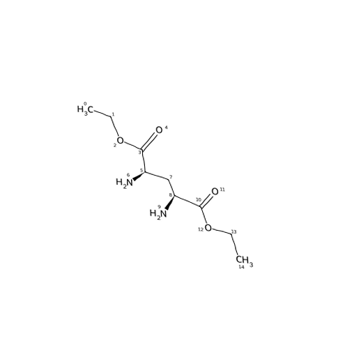 CCOC(=O)[C@H](N)C[C@H](N)C(=O)OCC